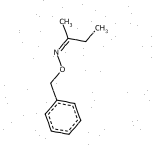 CCC(C)=NOCc1ccccc1